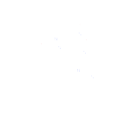 CC(C)=Cc1cnc2cnc(-c3nn(C4CCCCO4)cc3[N+](=O)[O-])cn12